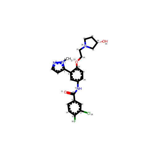 Cn1nccc1-c1cc(NC(=O)c2ccc(F)c(Cl)c2)ccc1OCCN1CC[C@H](O)C1